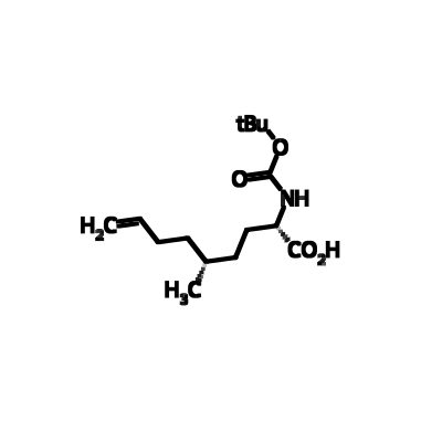 C=CCC[C@@H](C)CC[C@H](NC(=O)OC(C)(C)C)C(=O)O